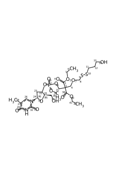 CCOC(=O)C(COCSSCCCO)(COP(=O)(OC)OC1C[C@H](n2cc(C)c(=O)[nH]c2=O)O[C@@H]1CO)C(=O)OCC